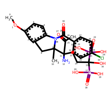 COc1ccc2c(c1)CC(C)(C(N)(CCC(O)(P(=O)(O)O)P(=O)(O)O)C(C)=O)N2C(=O)c1ccc(Cl)cc1